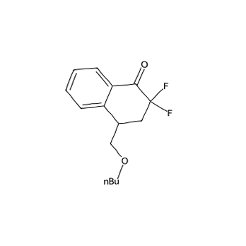 CCCCOCC1CC(F)(F)C(=O)c2ccccc21